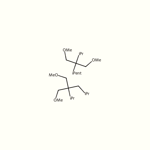 CCCC(C)C(COC)(COC)C(C)C.COCC(COC)(CC(C)C)C(C)C